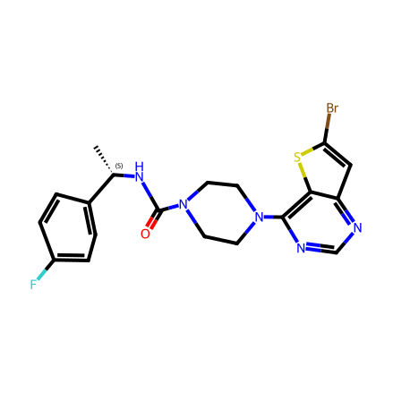 C[C@H](NC(=O)N1CCN(c2ncnc3cc(Br)sc23)CC1)c1ccc(F)cc1